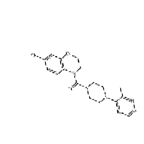 Cc1nccnc1N1CCN(C(=O)N2CCOc3cc(Cl)ccc32)CC1